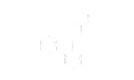 C=CC(=O)CCc1ccccc1-c1ccccc1